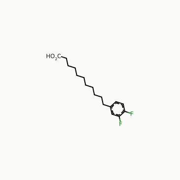 O=C(O)CCCCCCCCCCc1ccc(F)c(F)c1